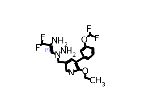 CCOc1ncc(CN(N)/C=C(\N)C(F)F)cc1-c1cccc(OC(F)F)c1